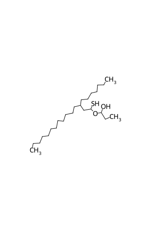 CCCCCCCCCCCCC(CCCCCCC)CC(S)OC(O)CC